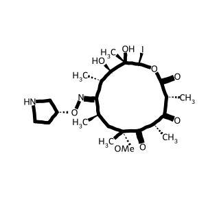 CO[C@]1(C)C[C@@H](C)/C(=N\O[C@@H]2CCNC2)[C@H](C)[C@@H](O)[C@](C)(O)[C@@H](I)OC(=O)[C@H](C)C(=O)[C@H](C)C1=O